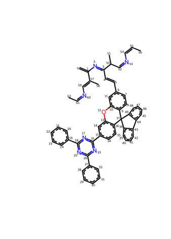 C=C(/N=C(\C=C\c1ccc2c(c1)Oc1cc(-c3nc(-c4ccccc4)nc(-c4ccccc4)n3)ccc1C21c2ccccc2-c2ccccc21)C(C)/C=N\C=C/C)/C(C)=C/N=C\C